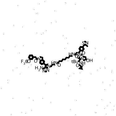 Cc1ncsc1-c1ccc([C@H](CC(=O)NCCCCCCCCC(=O)NCCCn2cc(-c3ccc4c(c3)CCN4C(=O)Cc3cccc(OC(F)(F)F)c3)c3c(N)ncnc32)NC(=O)[C@@H]2C[C@@H](O)CN2C(=O)C(NC(=O)C2(F)CC2)C(C)(C)C)cc1